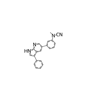 CN(C#N)c1cccc(-c2cnc3[nH]cc(-c4ccccc4)c3c2)c1